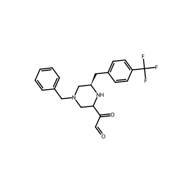 O=CC(=O)C1CN(Cc2ccccc2)C[C@@H](Cc2ccc(C(F)(F)F)cc2)N1